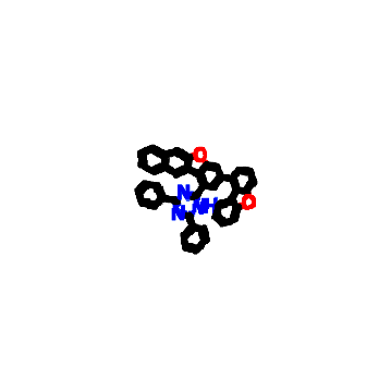 c1ccc(C2=NC(c3ccccc3)NC(c3cc(-c4cccc5oc6ccccc6c45)cc4oc5cc6ccccc6cc5c34)=N2)cc1